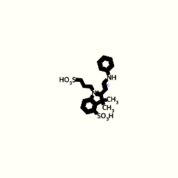 CC1(C)C(/C=C/Nc2ccccc2)=[N+](CCCS(=O)(=O)O)c2cccc(S(=O)(=O)O)c21